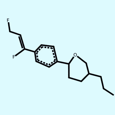 CCCC1CCC(c2ccc(/C(F)=C/CF)cc2)OC1